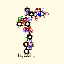 CC1(C)CCC(c2ccc(Cl)cc2)=C(CN2CCN(c3ccc(C(=O)NS(=O)(=O)c4ccc(N[C@H](CCN5CC6CC(C5)N6Cc5ccc6c(c5)C(=O)N(N5CCC(=O)NC5=O)C6=O)CSc5ccccc5)c(S(=O)(=O)C(F)(F)F)c4)cc3)CC2)C1